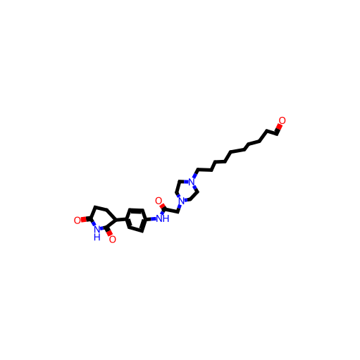 O=CCCCCCCCCCN1CCN(CC(=O)Nc2ccc(C3CCC(=O)NC3=O)cc2)CC1